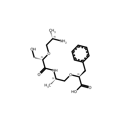 C[C@H](N)CO[C@@H](CO)C(=O)N[C@@H](C)CO[C@@H](Cc1ccccc1)C(=O)O